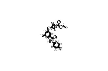 CCOC(=O)N1CC(Oc2cc(C)nc(C(=O)Nc3ccc(F)cn3)c2)C1